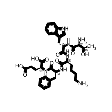 C[C@@H](O)[C@H](N)C(=O)N[C@@H](Cc1c[nH]c2ccccc12)C(=O)N[C@@H](CCCCN)C(=O)N[C@@H](Cc1ccccc1)C(=O)N[C@@H](CCC(=O)O)C(=O)O